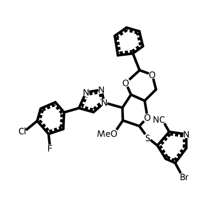 COC1C(Sc2cc(Br)cnc2C#N)OC2COC(c3ccccc3)OC2C1n1cc(-c2ccc(Cl)c(F)c2)nn1